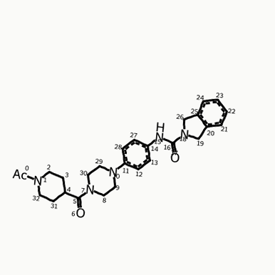 CC(=O)N1CCC(C(=O)N2CCN(c3ccc(NC(=O)N4Cc5ccccc5C4)cc3)CC2)CC1